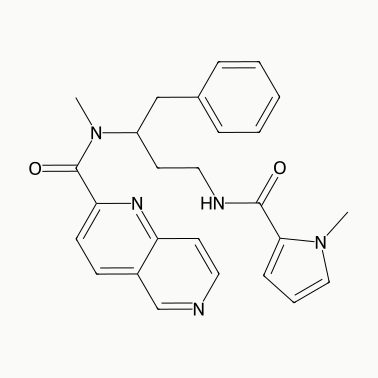 CN(C(=O)c1ccc2cnccc2n1)C(CCNC(=O)c1cccn1C)Cc1ccccc1